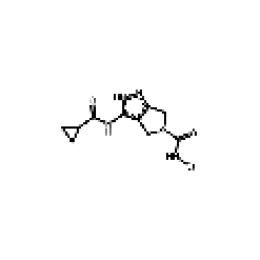 CCNC(=O)N1Cc2n[nH]c(NC(=O)C3CC3)c2C1